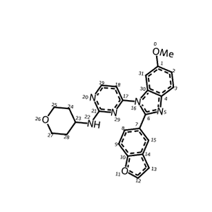 COc1ccc2nc(-c3ccc4occc4c3)n(-c3ccnc(NC4CCOCC4)n3)c2c1